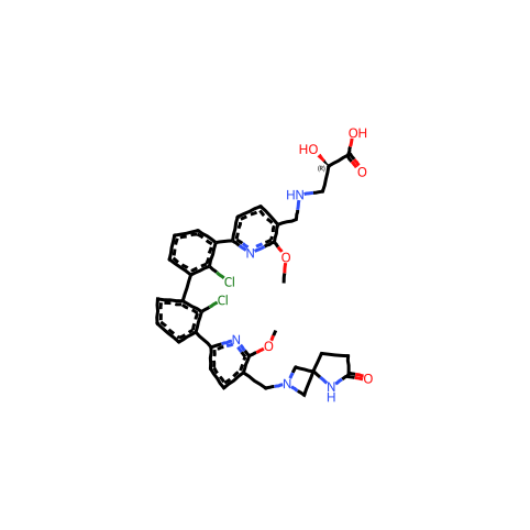 COc1nc(-c2cccc(-c3cccc(-c4ccc(CN5CC6(CCC(=O)N6)C5)c(OC)n4)c3Cl)c2Cl)ccc1CNC[C@@H](O)C(=O)O